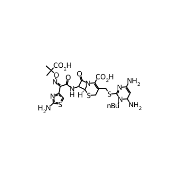 CCCCN1C(SCC2=C(C(=O)O)N3C(=O)C(NC(=O)/C(=N\OC(C)(C)C(=O)O)c4csc(N)n4)[C@@H]3SC2)=NC(N)=CC1N